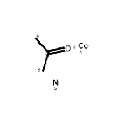 CC(C)=O.[Co].[Ni]